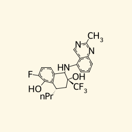 CCC[C@H]1C[C@](O)(C(F)(F)F)[C@@H](Nc2cccc3nc(C)ncc23)c2ccc(F)c(O)c21